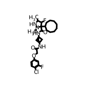 CC1NN(C)C(C(=O)NC23CC(NC(=O)COc4ccc(Cl)c(F)c4)(C2)C3)(C2CCCCCCCC2)C1F